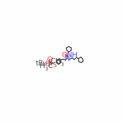 CC(C)(C)OC(=O)C(C)(C)Sc1ccc(CCN(CCCCC2CCCCC2)C(=O)NC2CCCCC2)cc1